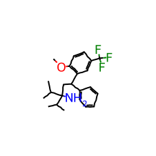 COc1ccc(C(F)(F)F)cc1C(CC(N)(C(C)C)C(C)C)c1ccccc1